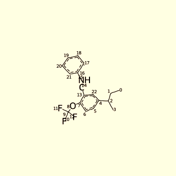 CCC(C)c1ccc(OC(F)(F)F)c(CNc2[c]cccc2)c1